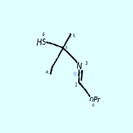 CCC/C=N/C(C)(C)S